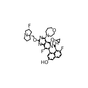 C#Cc1c(F)ccc2cc(O)cc(-c3nc(OC4CC4)c4c(N5CCCOCC5)nc(OC[C@@]56CCCN5C[C@H](F)C6)nc4c3F)c12